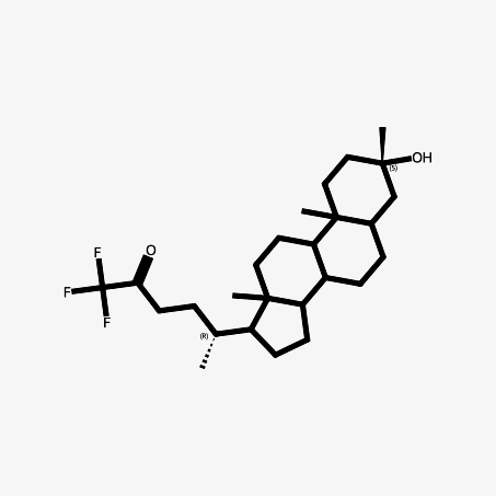 C[C@H](CCC(=O)C(F)(F)F)C1CCC2C3CCC4C[C@@](C)(O)CCC4(C)C3CCC21C